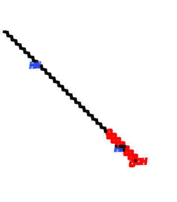 CCCCCCCCCCCCCCCCNCCCCCCCCCCCCCCCCCCCCCCCCCCCCCCCCOOOOOOONOOOOOC(=O)O